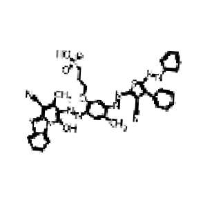 Cc1cc(N=Nc2c(C)c(C#N)c3nc4ccccc4n3c2O)c(OCCCS(=O)(=O)O)cc1N=Nc1sc(N=Nc2ccccc2)c(-c2ccccc2)c1C#N